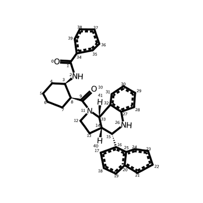 O=C(N[C@@H]1CCCC[C@@H]1C(=O)N1CC[C@H]2[C@@H](c3cccc4ccccc34)Nc3ccccc3[C@H]21)c1ccccc1